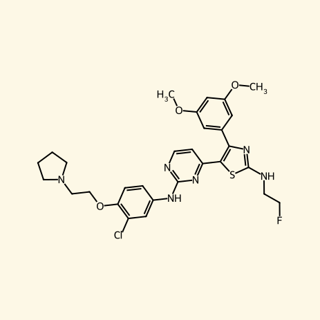 COc1cc(OC)cc(-c2nc(NCCF)sc2-c2ccnc(Nc3ccc(OCCN4CCCC4)c(Cl)c3)n2)c1